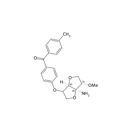 CO[C@H]1CO[C@@H]2C(Oc3ccc(C(=O)c4ccc(C)cc4)cc3)CO[C@]12N